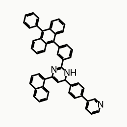 C1=C(c2cccc3ccccc23)N=C(c2cccc(-c3c4ccccc4c(-c4ccccc4)c4ccccc34)c2)NC1c1ccc(-c2cccnc2)cc1